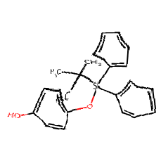 CC(C)(C)[Si](Oc1[c]cc(O)cc1)(c1ccccc1)c1ccccc1